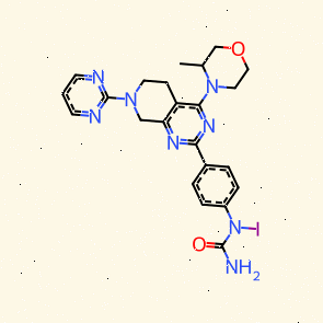 CC1COCCN1c1nc(-c2ccc(N(I)C(N)=O)cc2)nc2c1CCN(c1ncccn1)C2